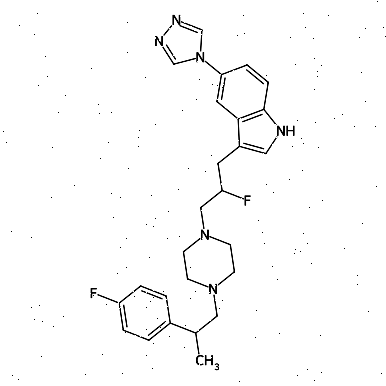 CC(CN1CCN(CC(F)Cc2c[nH]c3ccc(-n4cnnc4)cc23)CC1)c1ccc(F)cc1